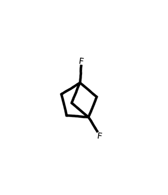 FC12CCC(F)(C1)C2